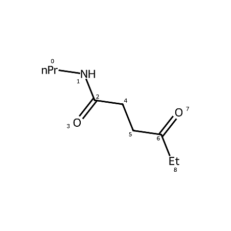 CCCNC(=O)CCC(=O)CC